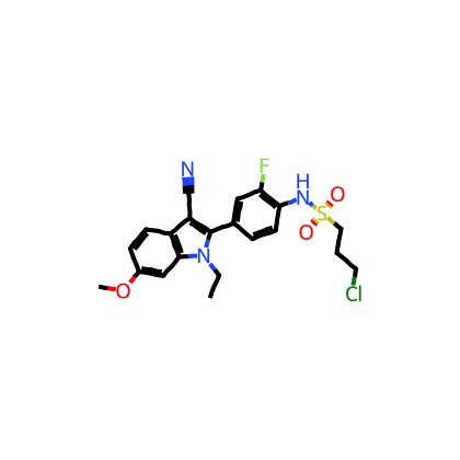 CCn1c(-c2ccc(NS(=O)(=O)CCCCl)c(F)c2)c(C#N)c2ccc(OC)cc21